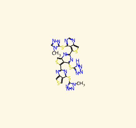 Cn1cnnc1Sc1ncnc2csc(-c3nc(Sc4nnn[nH]4)c4c(-c5nc(Sc6nnnn6C)c6cscc6n5)scc4n3)c12